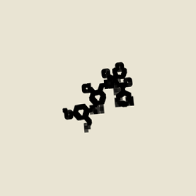 COc1ccc(Nc2ccc(CNC(=O)[C@]3(NC(=O)c4cncnc4)CCOC3)c(Cl)c2)c(CF)c1